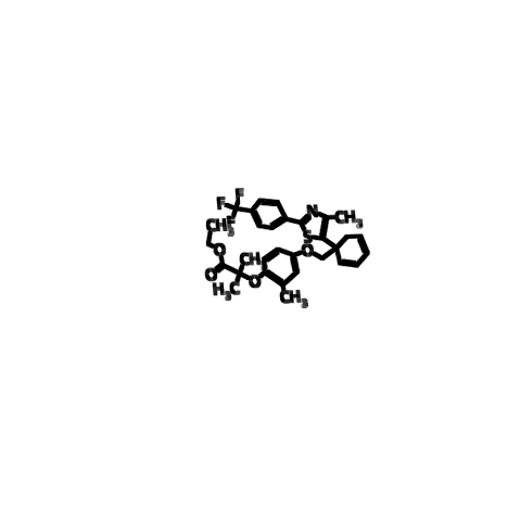 CCOC(=O)C(C)(C)Oc1ccc(OCC2(c3sc(-c4ccc(C(F)(F)F)cc4)nc3C)C=CC=CC2)cc1C